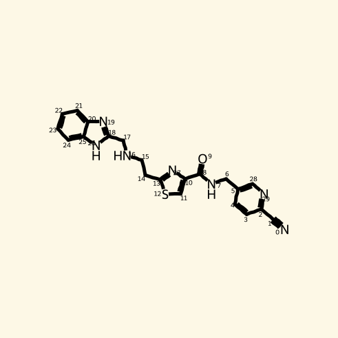 N#Cc1ccc(CNC(=O)c2csc(CCNCc3nc4ccccc4[nH]3)n2)cn1